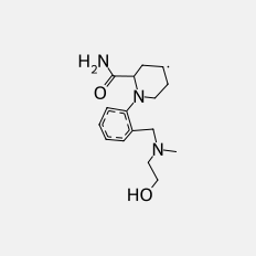 CN(CCO)Cc1ccccc1N1CC[CH]CC1C(N)=O